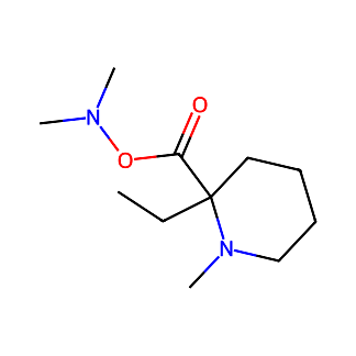 CCC1(C(=O)ON(C)C)CCCCN1C